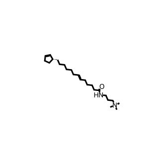 C[N+](C)(C)CCCNC(=O)CCCC/C=C/CCCCCC[C@H]1C=CCC1